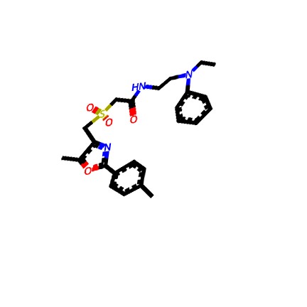 CCN(CCNC(=O)CS(=O)(=O)Cc1nc(-c2ccc(C)cc2)oc1C)c1ccccc1